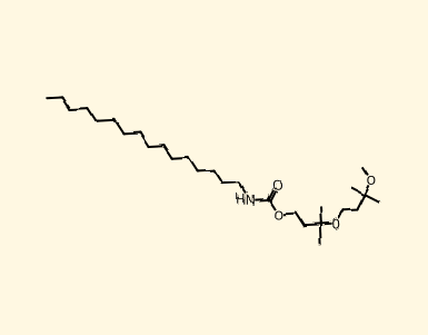 CCCCCCCCCCCCCCCCNC(=O)OCCC(C)(C)OCCC(C)(C)OC